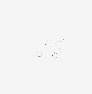 Cn1cc(COc2ccc(Cl)c3c2[C@@H](CN2CCCC2=O)N(C(=O)C2CCCCC2)CC3)nn1